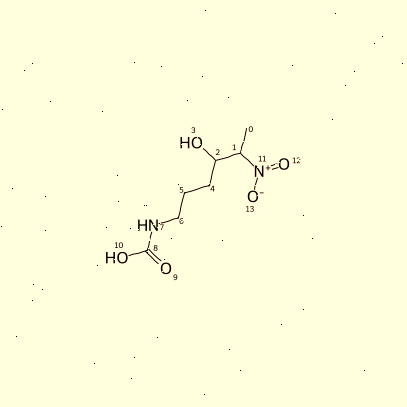 CC(C(O)CCCNC(=O)O)[N+](=O)[O-]